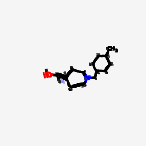 CC1CCC(C[N+]2=CC/C(=B/O)C=C2)CC1